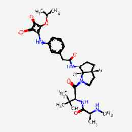 CN[C@@H](C)C(=O)N[C@H](C(=O)N1CC[C@H]2CC[C@H](NC(=O)Cc3cccc(Nc4c(OC(C)C)c(=O)c4=O)c3)[C@H]21)C(C)(C)C